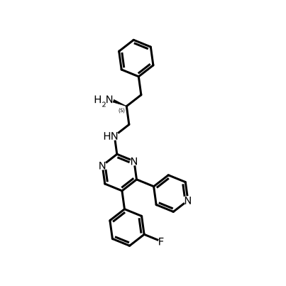 N[C@H](CNc1ncc(-c2cccc(F)c2)c(-c2ccncc2)n1)Cc1ccccc1